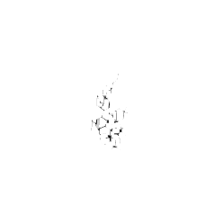 CCCCOc1ccc(-c2cnc(C)c(C(OC(C)(C)C)C(=O)OC(C)C)c2N2CCC(C)(C)CC2)cn1